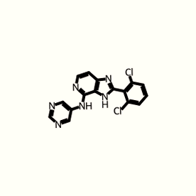 Clc1cccc(Cl)c1-c1nc2ccnc(Nc3cncnc3)c2[nH]1